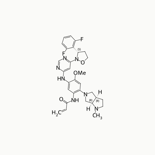 C=CC(=O)Nc1cc(Nc2cc(N3OCC[C@H]3c3c(F)cccc3F)ncn2)c(OC)cc1N1C[C@H]2CCN(C)[C@H]2C1